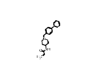 C=CC(=O)NC1CCN(Cc2ccc(-c3ccccc3)cc2)CC1